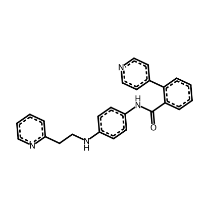 O=C(Nc1ccc(NCCc2ccccn2)cc1)c1ccccc1-c1ccncc1